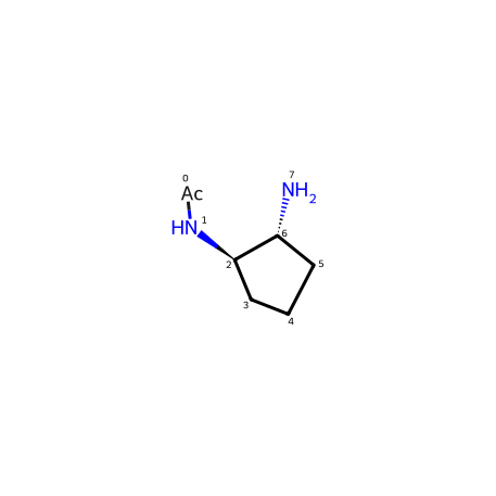 CC(=O)N[C@@H]1CCC[C@H]1N